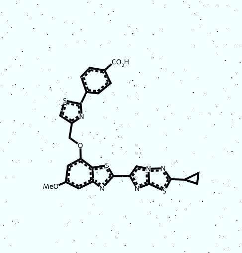 COc1cc(OCc2csc(-c3ccc(C(=O)O)cc3)n2)c2sc(-c3cn4nc(C5CC5)sc4n3)nc2c1